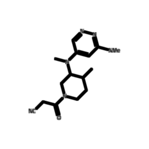 CNc1cc(N(C)C2CN(C(=O)CC#N)CCC2C)cnn1